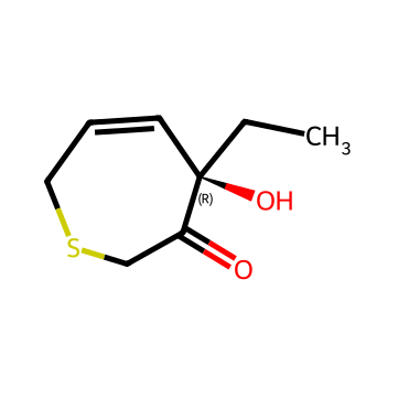 CC[C@@]1(O)C=CCSCC1=O